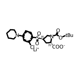 CC(C)(C)OC(=O)N1C[C@H](S(=O)(=O)c2ccc(N3CCCCC3)cc2Cl)C[C@H]1C(=O)[O-].[Li+]